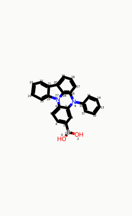 OB(O)c1ccc2c(c1)N(c1ccccc1)c1cccc3c4ccccc4n-2c13